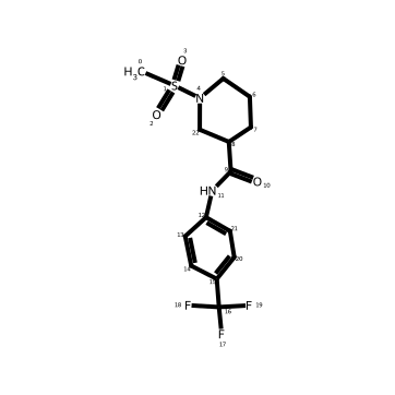 CS(=O)(=O)N1CCCC(C(=O)Nc2ccc(C(F)(F)F)cc2)C1